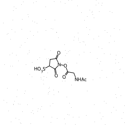 CC(=O)NCC(=O)ON1C(=O)CC(S(=O)(=O)O)C1=O